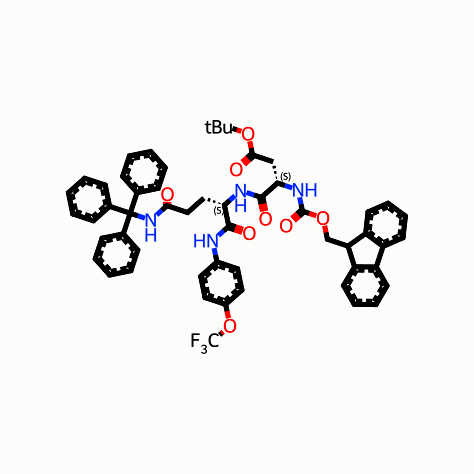 CC(C)(C)OC(=O)C[C@H](NC(=O)OCC1c2ccccc2-c2ccccc21)C(=O)N[C@@H](CCC(=O)NC(c1ccccc1)(c1ccccc1)c1ccccc1)C(=O)Nc1ccc(OC(F)(F)F)cc1